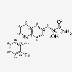 NC(=O)N(O)Cc1ccc2c(c1)CCCN2Cc1ccccc1F